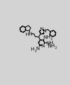 NNc1nc(N)cc(C(CCNC2CCc3ccccc32)c2cnn(Cc3ccccc3)c2)c1N